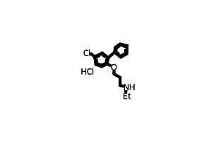 CCNCCCOc1ccc(Cl)cc1-c1ccccc1.Cl